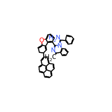 C=C(/N=C(\N=C(/N)c1ccccc1)c1cccc2oc3c(c12)=CC(c1cc2ccc4cccc5ccc(c1)c2c45)CC=3)c1ccccc1